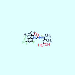 C[C@H](SNC(=O)CN1C(=O)C(C)(C)c2c(F)c(C(F)(F)F)cc(F)c21)[C@@H](C)CC(O)O